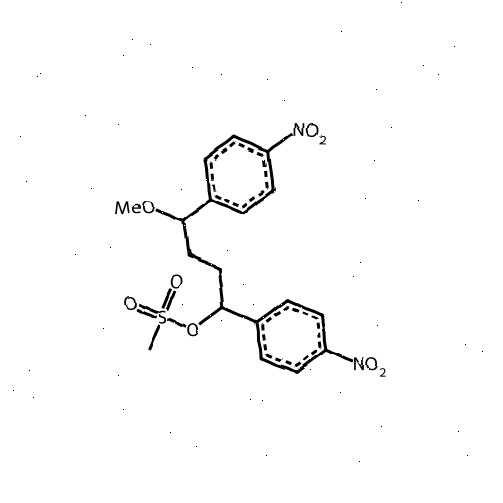 COC(CCC(OS(C)(=O)=O)c1ccc([N+](=O)[O-])cc1)c1ccc([N+](=O)[O-])cc1